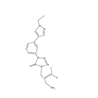 CCn1cc(-c2cccc(-n3nnn(CC(CN)=C(F)F)c3=O)c2)cn1